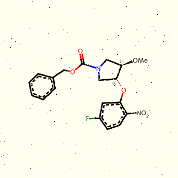 CO[C@@H]1CN(C(=O)OCc2ccccc2)C[C@H]1Oc1cc(F)ccc1[N+](=O)[O-]